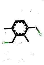 Cc1ccc(CCl)c(C)c1CCl